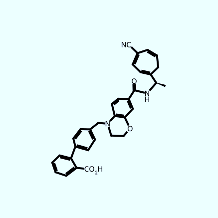 C[C@@H](NC(=O)c1ccc2c(c1)OCCN2Cc1ccc(-c2ccccc2C(=O)O)cc1)C1=CC=C(C#N)C=CC1